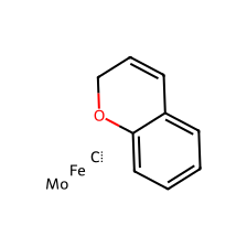 C1=Cc2ccccc2OC1.[C].[Fe].[Mo]